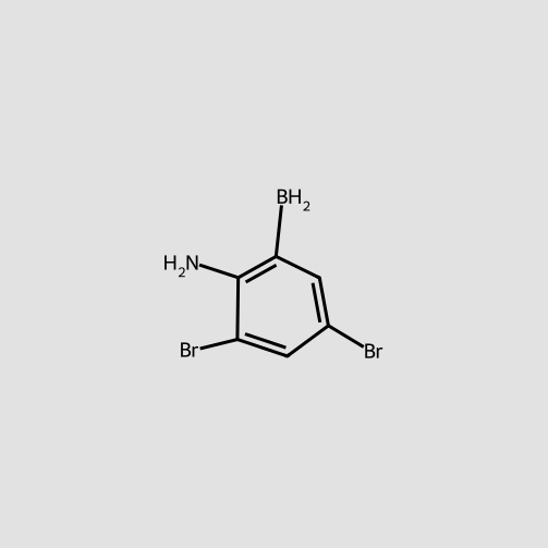 Bc1cc(Br)cc(Br)c1N